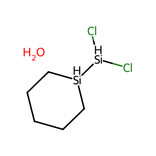 Cl[SiH](Cl)[SiH]1CCCCC1.O